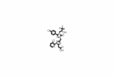 O=C(O)Cc1nc(Cn2nc(-c3ccc(Cl)cc3)n(C[C@H](O)C(F)(F)F)c2=O)nn1-c1ncccc1Cl